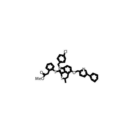 COC(=O)Cc1ccccc1Sc1c2c3c(c(OCc4ccc(-c5ccccc5)cn4)ccc3n1Cc1ccc(Cl)cc1)CC(C)S2